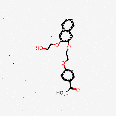 O=C(O)C(=O)c1ccc(OCCOc2cc3ccccc3cc2OCCO)cc1